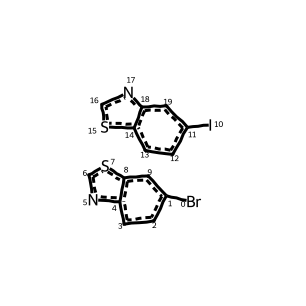 Brc1ccc2ncsc2c1.Ic1ccc2scnc2c1